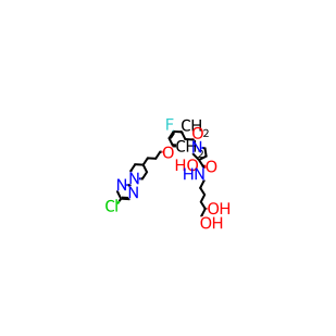 C=C(/C=C(/F)C(=C)CC(=O)N1CCC(O)(C(=O)NCCCC[C@H](O)CO)C1)OCCCC1CCN(c2ncc(Cl)cn2)CC1